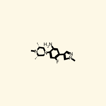 C[C@@H]1CN(c2cc(F)c(-c3cnn(C)c3)cc2N)C[C@H](C)N1C